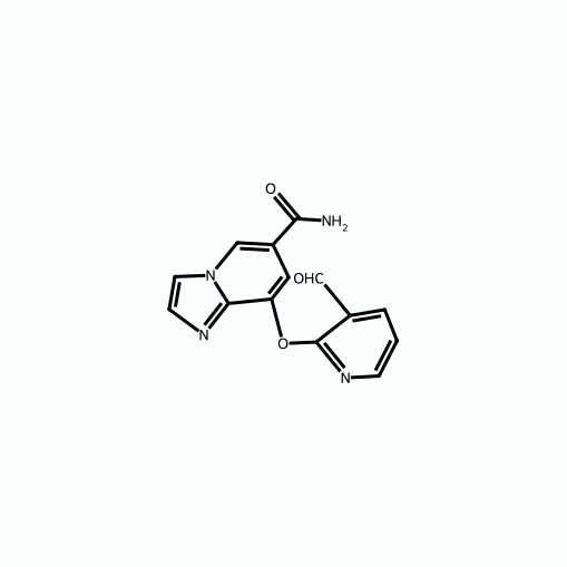 NC(=O)c1cc(Oc2ncccc2C=O)c2nccn2c1